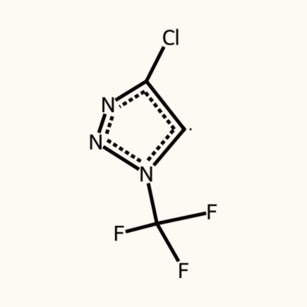 FC(F)(F)n1[c]c(Cl)nn1